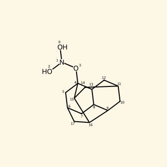 ON(O)OC12CC3CC4C5CC(CC41)CC2C5C3